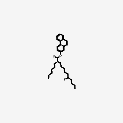 CCCCCCC(CCCCCC(F)CCCC)C(F)Oc1ccc2c(ccc3ccccc32)c1